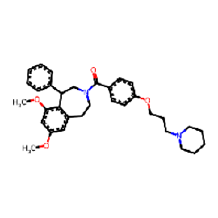 COc1cc2c(c(OC)c1)C(c1ccccc1)CN(C(=O)c1ccc(OCCCN3CCCCC3)cc1)CC2